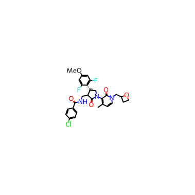 COc1cc(F)c([C@@H]2CN(c3c(C)ccn(CC4CCO4)c3=O)C(=O)C2CNC(=O)c2ccc(Cl)cc2)c(F)c1